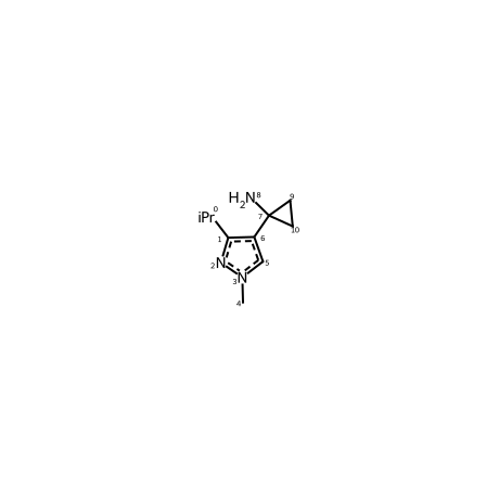 CC(C)c1nn(C)cc1C1(N)CC1